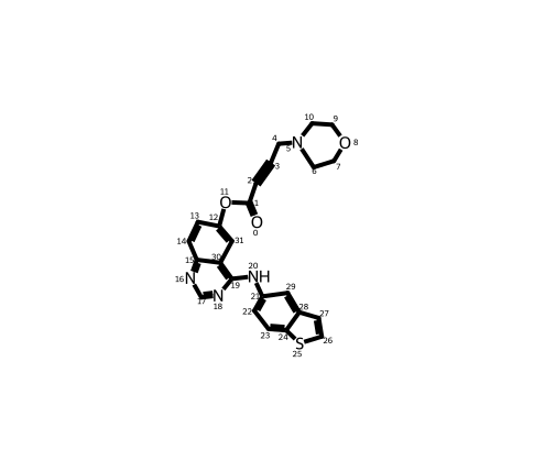 O=C(C#CCN1CCOCC1)Oc1ccc2ncnc(Nc3ccc4sccc4c3)c2c1